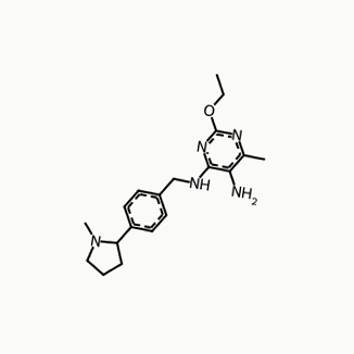 CCOc1nc(C)c(N)c(NCc2ccc(C3CCCN3C)cc2)n1